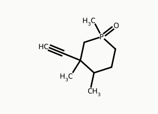 C#CC1(C)CP(C)(=O)CCC1C